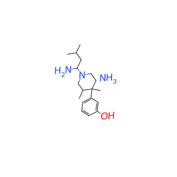 CC(C)CC(N)N1CCC(C)(c2cccc(O)c2)C(C)C1.N